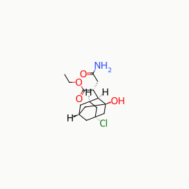 CCOC(=O)[C@H](CC(N)=O)[C@@H]1[C@@H]2C[C@H]3C[C@@](Cl)(C2)C[C@]1(O)C3